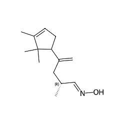 C=C(C[C@@H](C)C=NO)C1CC=C(C)C1(C)C